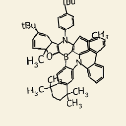 Cc1cc2c3c(c1)N(c1ccccc1-c1ccccc1)c1cc4c(cc1B3C1=C(C3C=C(C(C)(C)C)C=CC3(C)O1)N2c1ccc(C(C)(C)C)cc1)C(C)(C)CCC4(C)C